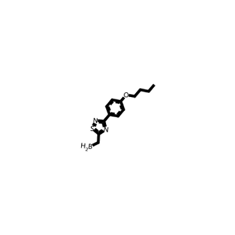 BCc1nc(-c2ccc(OCCCC)cc2)ns1